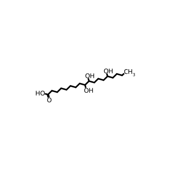 CCCCC(O)CCCC(O)C(O)CCCCCCCC(=O)O